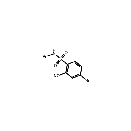 CC(C)(C)NS(=O)(=O)c1ccc(Br)cc1C#N